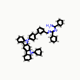 NC(/N=C(\N=C\c1cccc(-c2ccc(-n3c4ccccc4c4cc5c6ccccc6n(-c6ccccc6)c5cc43)cc2)c1)c1ccccc1)c1ccccc1